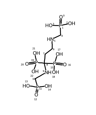 O=P(O)(O)CNCCC(NCP(=O)(O)O)(P(=O)(O)O)P(=O)(O)O